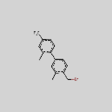 Cc1cc(-c2ccc(C(F)(F)F)cc2C)ccc1CBr